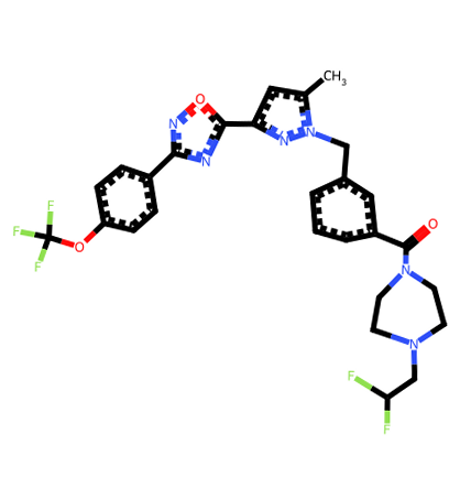 Cc1cc(-c2nc(-c3ccc(OC(F)(F)F)cc3)no2)nn1Cc1cccc(C(=O)N2CCN(CC(F)F)CC2)c1